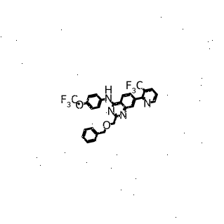 FC(F)(F)Oc1ccc(Nc2nc(COCc3ccccc3)nc3cc(-c4ncccc4C(F)(F)F)ccc23)cc1